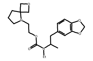 CCN(C(=O)OCCN1CCCC12COC2)C(C)Cc1ccc2c(c1)OCO2